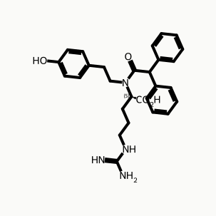 N=C(N)NCCC[C@@H](C(=O)O)N(CCc1ccc(O)cc1)C(=O)C(c1ccccc1)c1ccccc1